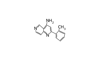 Cc1ccccc1-c1cc(N)c2cnccc2n1